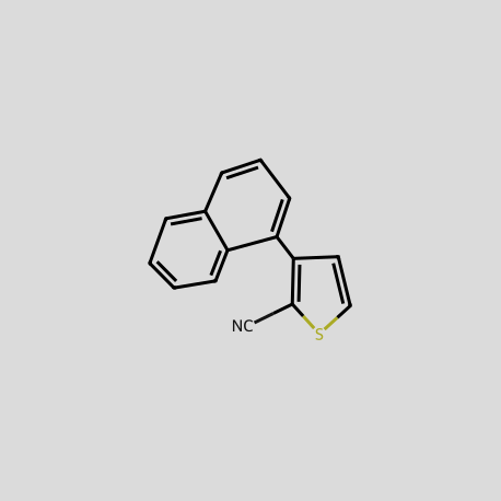 N#Cc1sccc1-c1cccc2ccccc12